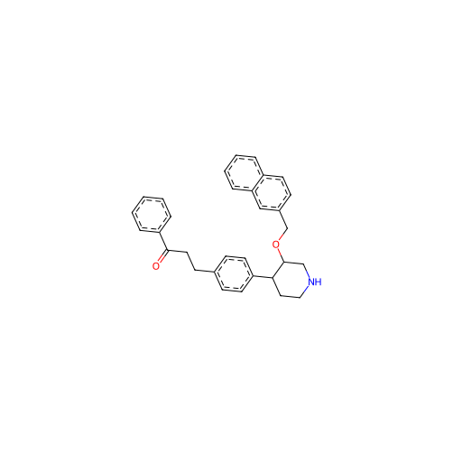 O=C(CCc1ccc(C2CCNCC2OCc2ccc3ccccc3c2)cc1)c1ccccc1